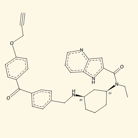 C#CCOc1ccc(C(=O)c2ccc(CN[C@@H]3CCC[C@H](N(CC)C(=O)c4cc5ncccc5[nH]4)C3)cc2)cc1